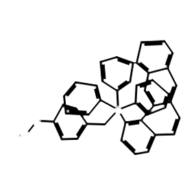 CCCCOc1ccc(CP(c2ccccc2)(c2ccccc2)(c2ccccc2)c2cccc3ccc4cc5ccccc5cc4c23)cc1